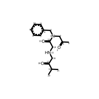 CC(=O)CN(Cc1ccccc1)C(=O)CNCC(=O)C(C)C